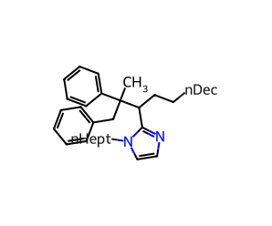 CCCCCCCCCCCCC(c1nccn1CCCCCCC)C(C)(Cc1ccccc1)c1ccccc1